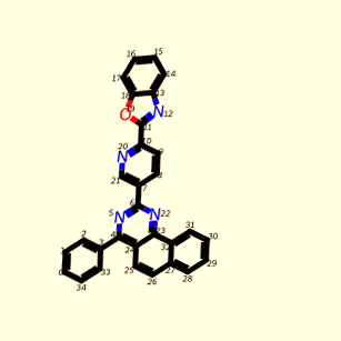 c1ccc(-c2nc(-c3ccc(-c4nc5ccccc5o4)nc3)nc3c2ccc2ccccc23)cc1